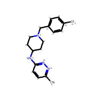 N#Cc1ccc(NC2CCN(Cc3ccc(C(F)(F)F)cc3)CC2)nn1